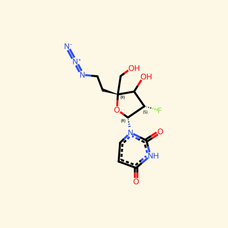 [N-]=[N+]=NCC[C@]1(CO)O[C@@H](n2ccc(=O)[nH]c2=O)[C@@H](F)C1O